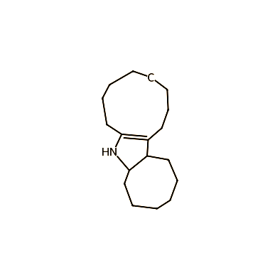 C1CCCCC2=C(CCC1)NC1CCCCCCC21